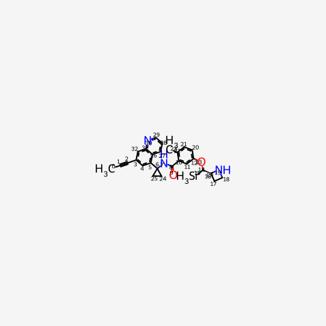 CC#Cc1cc(C2(NC(=O)c3cc(OC([SiH3])[C@@H]4CCN4)ccc3C)CC2)c2cccnc2c1